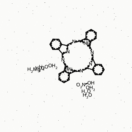 O.O.O.O.O.O.O=[N+]([O-])O.[MgH2].c1ccc2c(c1)-c1nc-2nc2[nH]c(nc3nc(nc4[nH]c(n1)c1ccccc41)-c1ccccc1-3)c1ccccc21